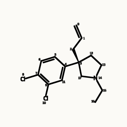 C=CC[C@@]1(c2ccc(Cl)c(Cl)c2)CCN(CC)C1